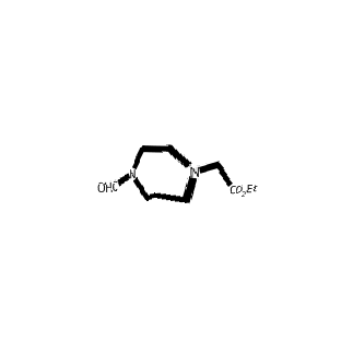 CCOC(=O)CN1CCN(C=O)CC1